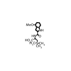 COc1cccc2[nH]c(C(=O)N[C@@H](CS(C)(C)C)C(=O)O)cc12